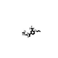 CCCOc1ccc(-c2csc(NC(C)=O)n2)cc1C(F)(F)F